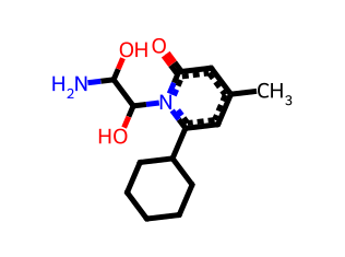 Cc1cc(C2CCCCC2)n(C(O)C(N)O)c(=O)c1